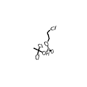 CC(Cl)(Cl)O[PH](=O)OCCCl